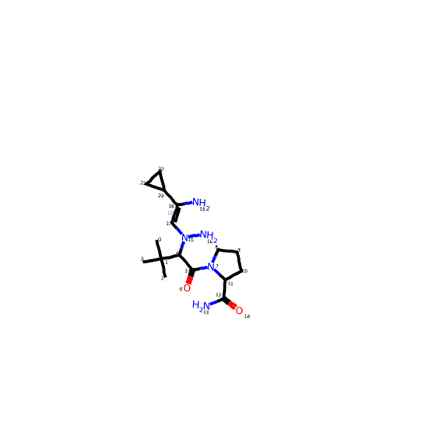 CC(C)(C)C(C(=O)N1CCCC1C(N)=O)N(N)/C=C(\N)C1CC1